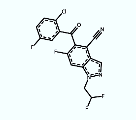 N#Cc1c(C(=O)c2cc(F)ccc2Cl)c(F)cc2c1cnn2CC(F)F